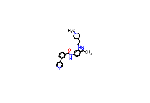 Cc1nn(CCC2CCN(C)CC2)c2cc(NC(=O)c3cccc(-c4ccncc4)c3)ccc12